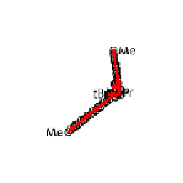 COCCOCCOCCOCCOCCOCCOCCOCCOCCOCCOCCN(CCC(=O)N[C@H](C(=O)N[C@@H](C)C(=O)Nc1ccc(COC(=O)C(C)(C)C)c(CCCOCCOCCOCCOCCOCCOCCOCCOCCOCCOCOCCOCCOCCOCCOCCOCCOC)c1)C(C)C)C(=O)CN1C(=O)C=CC1=O